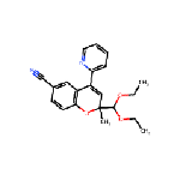 CCOC(OCC)C1(C)C=C(c2ccccn2)c2cc(C#N)ccc2O1